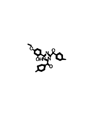 CCOc1ccc(-c2nc(C(=O)c3ccc(C)cc3)nc(C(=O)c3ccc(C)cc3)n2)c(O)c1